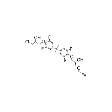 C#CCOC[C@@H](O)COc1c(F)cc(C(C)(C)c2cc(F)c(OC[C@H](O)CCl)c(F)c2)cc1F